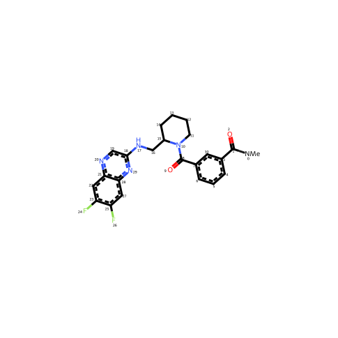 CNC(=O)c1cccc(C(=O)N2CCCCC2CNc2cnc3cc(F)c(F)cc3n2)c1